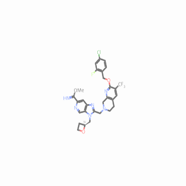 COC(=N)c1cc2nc(CN3CCc4cc(C(F)(F)F)c(OCc5ccc(Cl)cc5F)nc4C3)n(C[C@@H]3CCO3)c2cn1